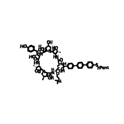 CCCCCSc1ccc(-c2ccc(-c3ccc(C(=O)N[C@H]4C[C@@H](O)[C@@H](OCC[N+](C)(C)C)NC(=O)[C@@H]5[C@@H](O)[C@@H](C)CN5C(=O)[C@H]([C@@H](C)O)NC(=O)[C@H]([C@H](O)[C@@H](O)c5ccc(O)cc5)NC(=O)[C@@H]5C[C@@H](O)CN5C(=O)[C@H]([C@@H](C)O)NC4=O)cc3)cc2)cc1